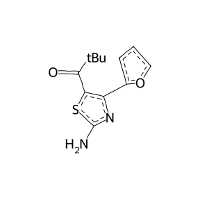 CC(C)(C)C(=O)c1sc(N)nc1-c1ccco1